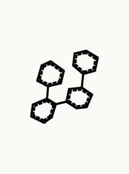 [c]1ccc(-c2ccccc2)c(-c2cccc(-c3ccccc3)c2)c1